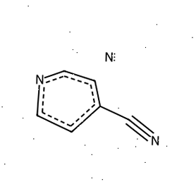 N#Cc1ccncc1.[N]